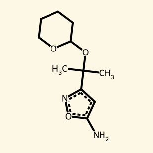 CC(C)(OC1CCCCO1)c1cc(N)on1